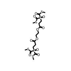 CSC(=O)P(=O)(CCC(=O)OCCOC(=O)CCP(=O)(C(=O)SC)C(=O)SC)C(=O)SC